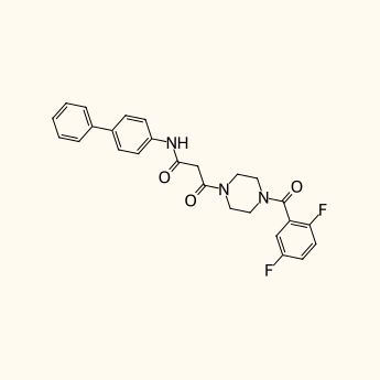 O=C(CC(=O)N1CCN(C(=O)c2cc(F)ccc2F)CC1)Nc1ccc(-c2ccccc2)cc1